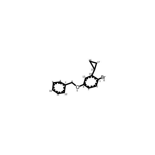 Brc1ccc(OCc2ccccc2)cc1C1CC1